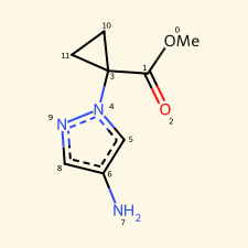 COC(=O)C1(n2cc(N)cn2)CC1